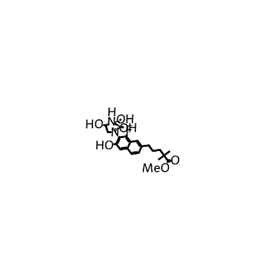 COC(=O)C(C)(C)CCCc1ccc2cc(O)c(N3CC(O)NS3(O)O)c(F)c2c1